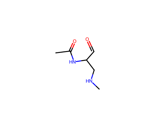 CNCC(C=O)NC(C)=O